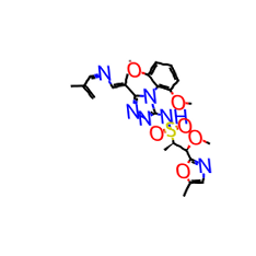 C=C(C)/C=N\C=C(/C)c1nnc(NS(=O)(=O)[C@H](C)[C@@H](OC)c2ncc(C)o2)n1-c1c(OC)cccc1OC